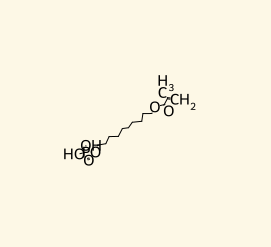 C=C(C)C(=O)OCCCCCCCCCCOP(=O)(O)O